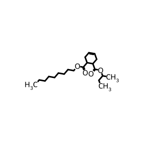 CCCCCCCCCOC(=O)C1CC=CCC1C(=O)OC(C)CC